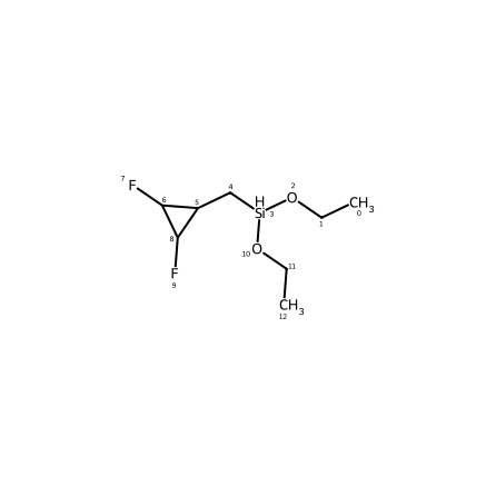 CCO[SiH](CC1C(F)C1F)OCC